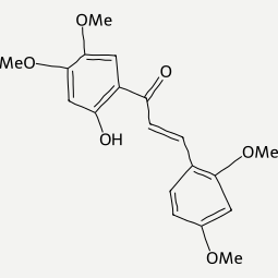 COc1ccc(/C=C/C(=O)c2cc(OC)c(OC)cc2O)c(OC)c1